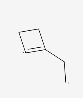 [CH2]CC1=[C]CC1